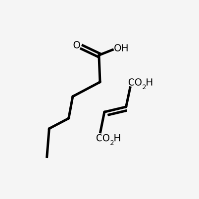 CCCCCC(=O)O.O=C(O)/C=C/C(=O)O